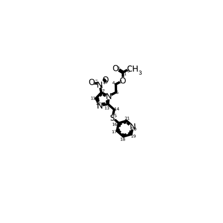 CC(=O)OCCn1c([N+](=O)[O-])cnc1CSc1cccnc1